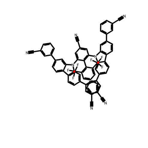 N#Cc1cccc(-c2ccc3c4ccc(-c5cccc(C#N)c5)cc4n(-c4cc(C#N)cc(-n5c6cc(-c7cccc(C#N)c7)ccc6c6ccc(-c7cccc(C#N)c7)cc65)c4-c4c(C(F)(F)F)cccc4C(F)(F)F)c3c2)c1